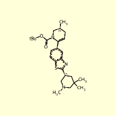 C[C@H]1CC=C(c2ccc3sc([C@@H]4CN(C)CC(C)(C)C4)nc3c2)N(C(=O)OC(C)(C)C)C1